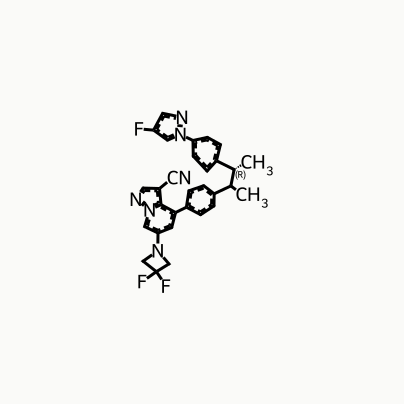 CC(c1ccc(-c2cc(N3CC(F)(F)C3)cn3ncc(C#N)c23)cc1)[C@@H](C)c1ccc(-n2cc(F)cn2)cc1